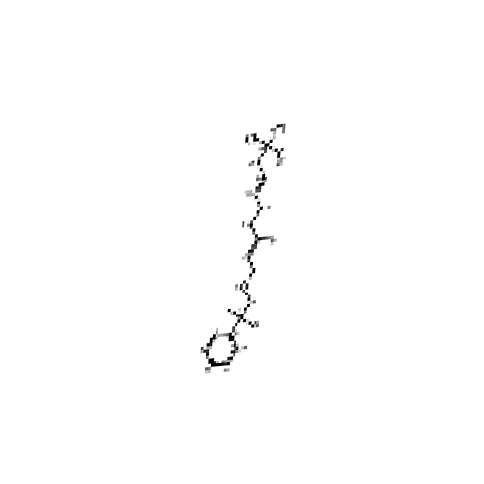 C/C(=C\COCC(C)(C)c1ccccc1)CC/C=C/CC(Cl)(Cl)Cl